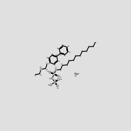 CCCCCCCCCCCCOS(=O)(=O)OS(=O)(=O)[O-].CCOCC.[Na+].c1ccc(-c2ccccc2)cc1